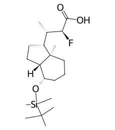 C[C@H]([C@H](F)C(=O)O)[C@H]1CC[C@H]2[C@@H](O[Si](C)(C)C(C)(C)C)CCC[C@]12C